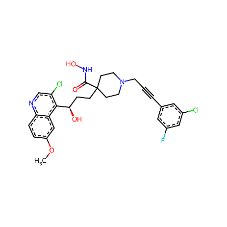 COc1ccc2ncc(Cl)c([C@H](O)CCC3(C(=O)NO)CCN(CC#Cc4cc(F)cc(Cl)c4)CC3)c2c1